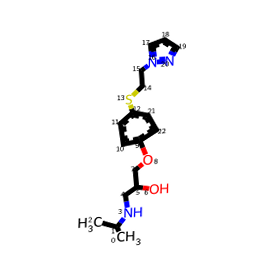 CC(C)NCC(O)COc1ccc(SCCn2cccn2)cc1